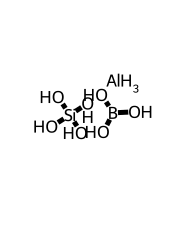 OB(O)O.O[Si](O)(O)O.[AlH3]